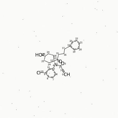 C#CC(=O)N(c1cccc(Cl)c1)[C@]1(C(=O)CCCc2ccccc2)CC[C@@H](O)CC1